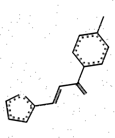 Cc1ccc(C(=O)C=Cc2ccc[nH]2)cc1